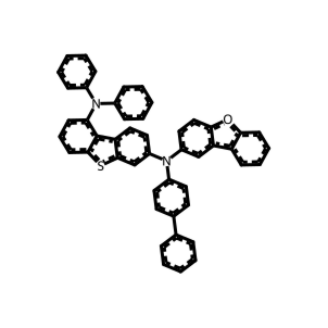 c1ccc(-c2ccc(N(c3ccc4c(c3)sc3cccc(N(c5ccccc5)c5ccccc5)c34)c3ccc4oc5ccccc5c4c3)cc2)cc1